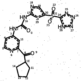 O=C(Nc1ccnc(C(=O)C2CCCC2)c1)Nc1ncc(S(=O)(=O)c2nnn[nH]2)s1